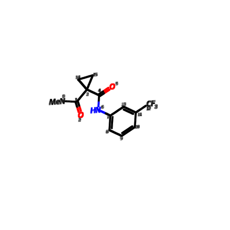 CNC(=O)C1(C(=O)Nc2cccc(C(F)(F)F)c2)CC1